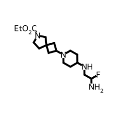 CCOC(=O)N1CCC2(CC(N3CCC(NCC(N)F)CC3)C2)C1